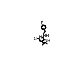 Cc1[nH]c2c(NCCc3ccc(F)cc3)nc(Cl)cc2c1C